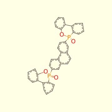 O=P1(c2ccc3c(ccc4cc(P5(=O)Oc6ccccc6-c6ccccc65)ccc43)c2)Oc2ccccc2-c2ccccc21